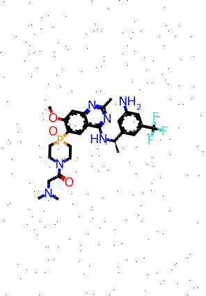 COc1cc2nc(C)nc(N[C@H](C)c3cc(N)cc(C(F)(F)F)c3)c2cc1P1(=O)CCN(C(=O)CN(C)C)CC1